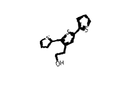 OCCc1cc(-c2cccs2)sc1C1CC=CS1